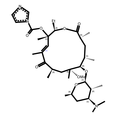 CC[C@H]1OC(=O)[C@H](C)C[C@H](C)[C@@H](O[C@@H]2O[C@H](C)C[C@H](N(C)C)[C@H]2C)[C@](C)(OC)C[C@@H](C)C(=O)/C(C)=C/[C@]1(C)OC(=O)n1ccnc1